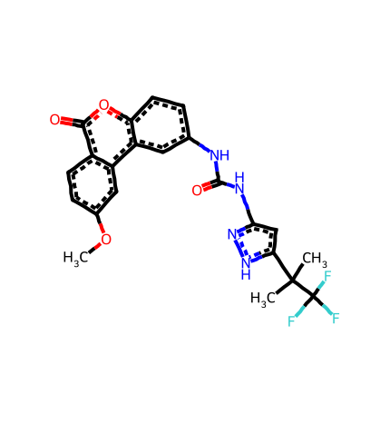 COc1ccc2c(=O)oc3ccc(NC(=O)Nc4cc(C(C)(C)C(F)(F)F)[nH]n4)cc3c2c1